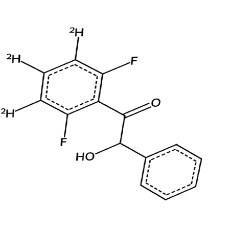 [2H]c1c([2H])c(F)c(C(=O)C(O)c2ccccc2)c(F)c1[2H]